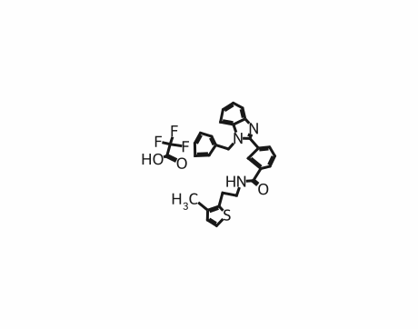 Cc1ccsc1CCNC(=O)c1cccc(-c2nc3ccccc3n2Cc2ccccc2)c1.O=C(O)C(F)(F)F